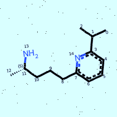 CC(C)c1cccc(CCC[C@H](C)N)n1